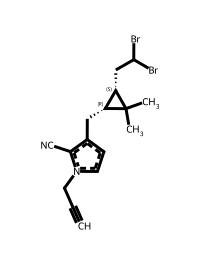 C#CCn1ccc(C[C@@H]2[C@H](CC(Br)Br)C2(C)C)c1C#N